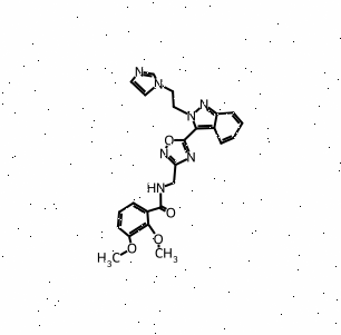 COc1cccc(C(=O)NCc2noc(-c3c4ccccc4nn3CCn3ccnc3)n2)c1OC